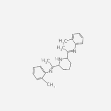 C/C(=N\c1ccccc1C)C1CCCC(/C(C)=N/c2ccccc2C)N1